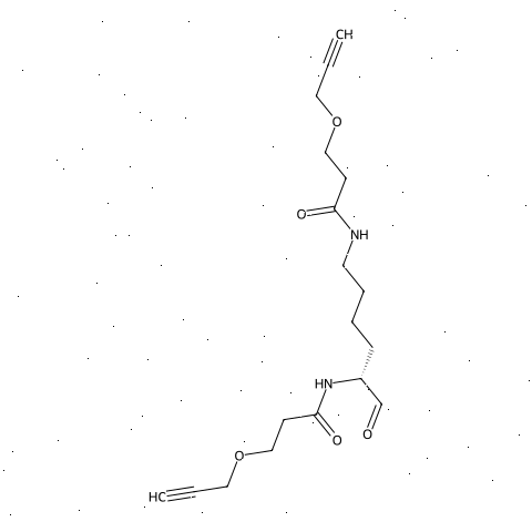 C#CCOCCC(=O)NCCCC[C@H](C=O)NC(=O)CCOCC#C